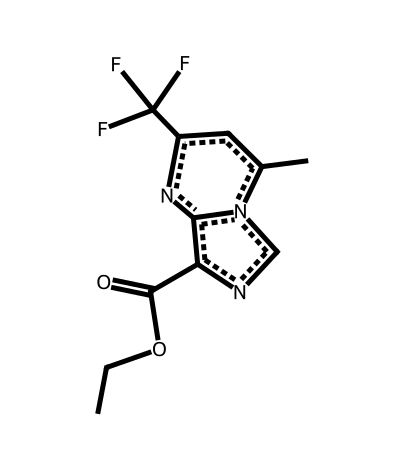 CCOC(=O)c1ncn2c(C)cc(C(F)(F)F)nc12